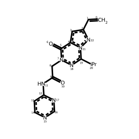 C=Cc1cc2c(=O)n(CC(=O)Nc3ccncn3)nc(C(C)C)n2n1